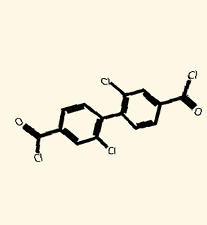 O=C(Cl)c1ccc(-c2ccc(C(=O)Cl)cc2Cl)c(Cl)c1